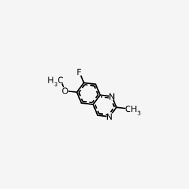 COc1cc2cnc(C)nc2cc1F